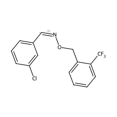 FC(F)(F)c1ccccc1CO/N=[C]\c1cccc(Cl)c1